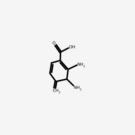 C=C1C=CC(C(=O)O)=C(N)C1N